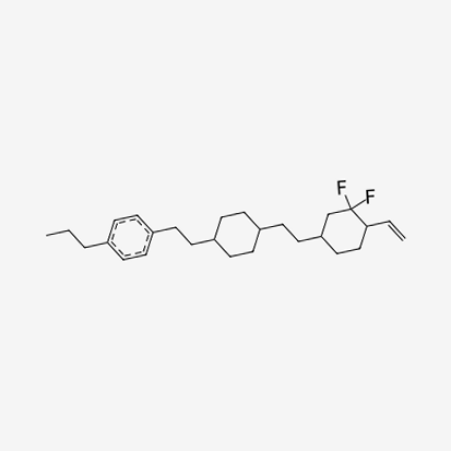 C=CC1CCC(CCC2CCC(CCc3ccc(CCC)cc3)CC2)CC1(F)F